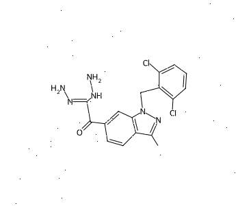 Cc1nn(Cc2c(Cl)cccc2Cl)c2cc(C(=O)/C(=N/N)NN)ccc12